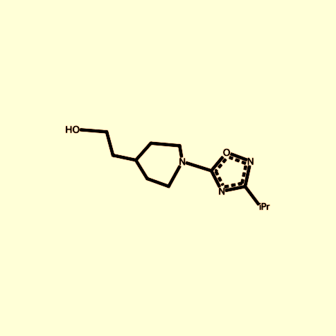 CC(C)c1noc(N2CCC(CCO)CC2)n1